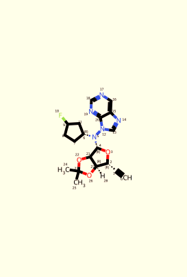 C#C[C@H]1O[C@@H](N([C@@H]2CCC(F)C2)n2cnc3cncnc32)C2OC(C)(C)O[C@@H]21